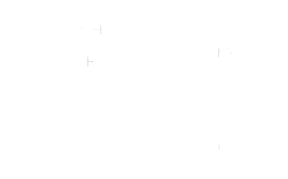 CCOc1ccc(B(O)O)cc1C=O